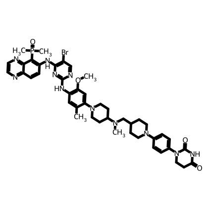 COc1cc(N2CCC(N(C)CC3CCN(c4ccc(N5CCC(=O)NC5=O)cc4)CC3)CC2)c(C)cc1Nc1ncc(Br)c(Nc2ccc3nccnc3c2P(C)(C)=O)n1